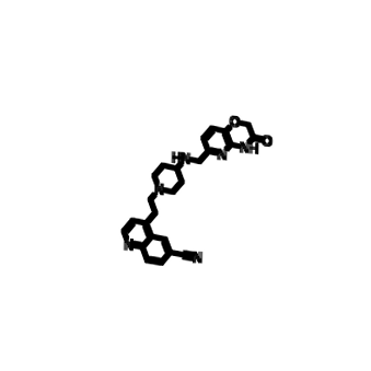 N#Cc1ccc2nccc(CCN3CCC(NCc4ccc5c(n4)NC(=O)CO5)CC3)c2c1